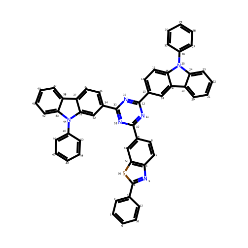 c1ccc(-c2nc3ccc(-c4nc(-c5ccc6c(c5)c5ccccc5n6-c5ccccc5)nc(-c5ccc6c7ccccc7n(-c7ccccc7)c6c5)n4)cc3s2)cc1